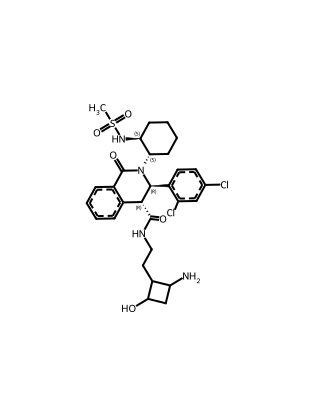 CS(=O)(=O)N[C@H]1CCCC[C@@H]1N1C(=O)c2ccccc2[C@@H](C(=O)NCCC2C(N)CC2O)[C@@H]1c1ccc(Cl)cc1Cl